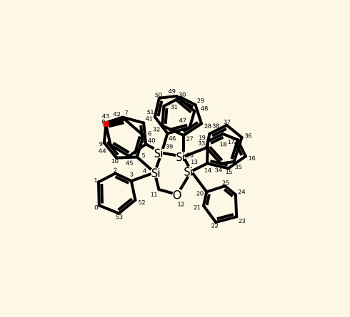 c1ccc([Si]2(c3ccccc3)CO[Si](c3ccccc3)(c3ccccc3)[Si](c3ccccc3)(c3ccccc3)[Si]2(c2ccccc2)c2ccccc2)cc1